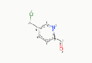 O=Cc1ccc(CCl)cn1